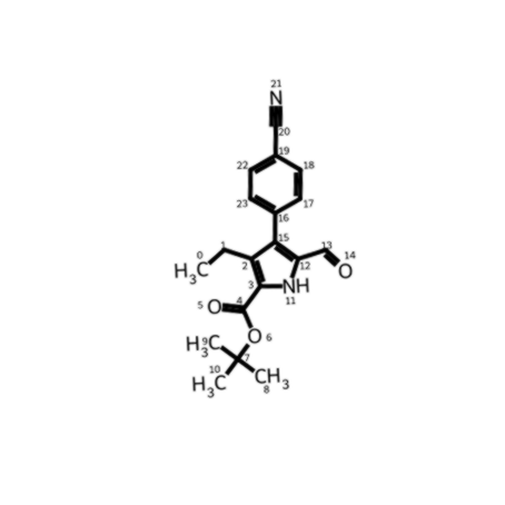 CCc1c(C(=O)OC(C)(C)C)[nH]c(C=O)c1-c1ccc(C#N)cc1